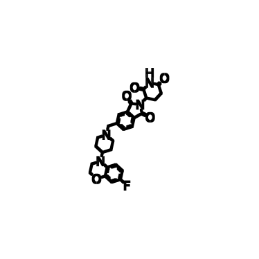 O=C1CCC(N2C(=O)c3ccc(CN4CCC(N5CCOc6cc(F)ccc65)CC4)cc3C2=O)C(=O)N1